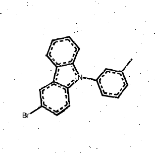 Cc1cccc(-n2c3ccccc3c3cc(Br)ccc32)c1